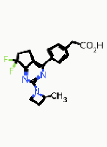 C[C@H]1CCN1c1nc(-c2ccc(CC(=O)O)cc2)c2c(n1)C(F)(F)CC2